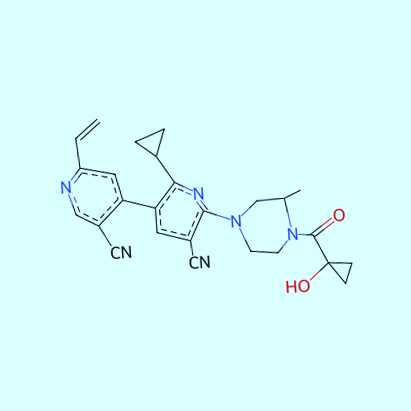 C=Cc1cc(-c2cc(C#N)c(N3CCN(C(=O)C4(O)CC4)C(C)C3)nc2C2CC2)c(C#N)cn1